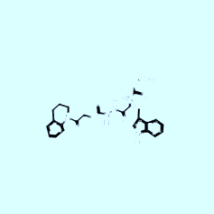 CC(C)(C)OC(=O)N[C@H](Cc1c[nH]c2ccccc12)C(=O)NNC(=O)OCC(=O)N1CCCc2ccccc21